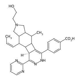 C/C=C\C1C2CN(CCO)CC2C(C)C2C3=C(c4ccc(C(=O)O)cc4)NN=C(c4ncccn4)[C@H]3C12